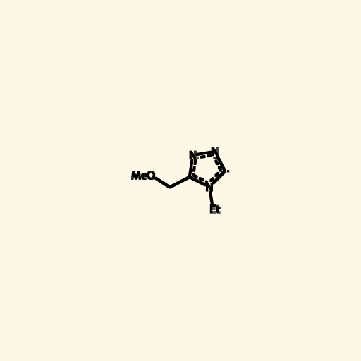 CCn1[c]nnc1COC